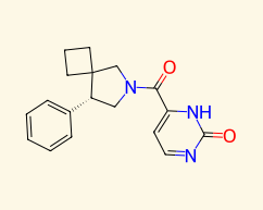 O=C(c1ccnc(=O)[nH]1)N1C[C@H](c2ccccc2)C2(CCC2)C1